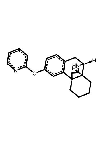 c1ccc(Oc2ccc3c(c2)[C@@]24CCCC[C@H]2[C@@H](C3)NCC4)nc1